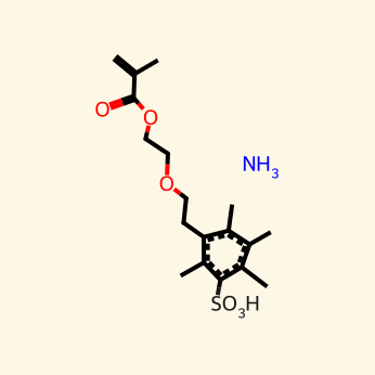 C=C(C)C(=O)OCCOCCc1c(C)c(C)c(C)c(S(=O)(=O)O)c1C.N